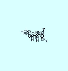 Cc1[nH]c2c(-c3cc(C(F)(F)F)ccc3OCC3CC3)ncnc2c1C(=O)N[C@H]1CC[C@H](NC(=O)[C@H](C)O)C1